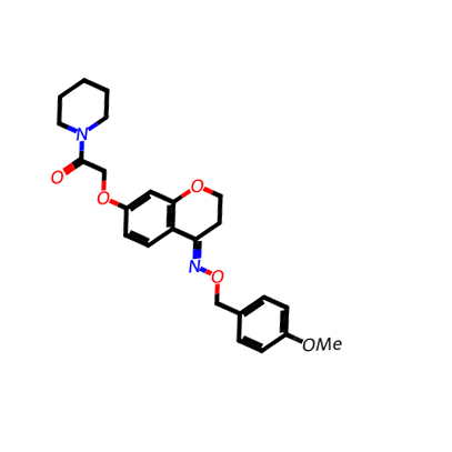 COc1ccc(CO/N=C2\CCOc3cc(OCC(=O)N4CCCCC4)ccc32)cc1